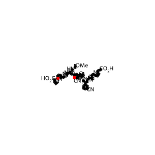 COCCNc1nc(-c2cc(C#N)cc(C3OCC[C@H]3Nc3nc(-c4cccc(C#N)c4)cc(-c4cn(Cc5cccc(CCC(=O)O)n5)nn4)n3)c2)cc(-c2cn(Cc3cccc(N4CCC[C@@H]4C(=O)O)n3)nn2)n1